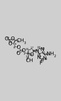 C#C[C@@]1(COC(=O)OCc2oc(=O)oc2C)[CH]C[C@H](n2cnc3c(N)nc(F)nc32)O1